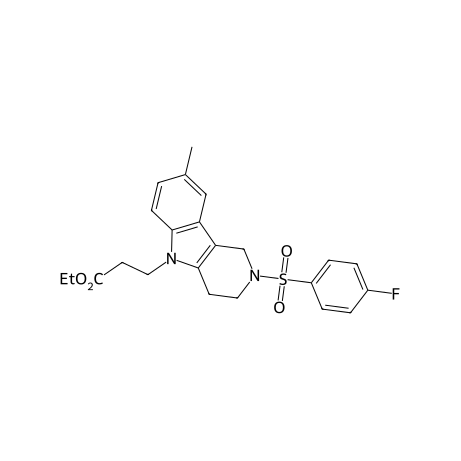 CCOC(=O)CCn1c2c(c3cc(C)ccc31)CN(S(=O)(=O)c1ccc(F)cc1)CC2